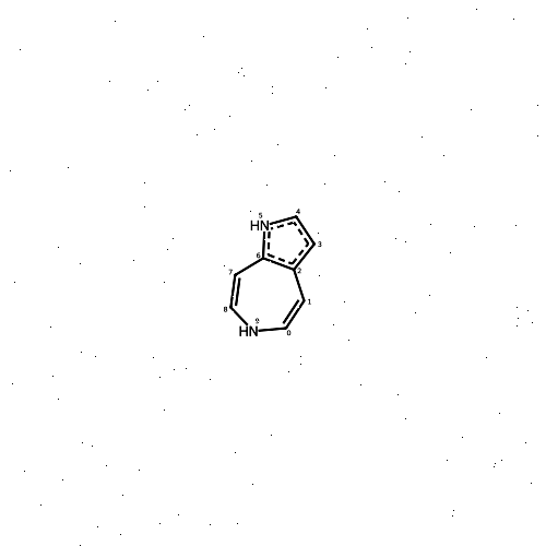 C1=Cc2cc[nH]c2C=CN1